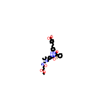 CCOC(=O)CCC(=O)N(C)CCN(Cc1cccc(C(=O)Nc2sc3c(c2C(=O)Nc2ccc(CCc4ccc(C(=O)OC)cc4)cc2)CCCCC3)c1)C(CC)CC